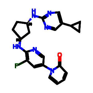 O=c1ccccn1-c1cnc(N[C@H]2CC[C@H](Nc3ncc(C4CC4)cn3)C2)c(F)c1